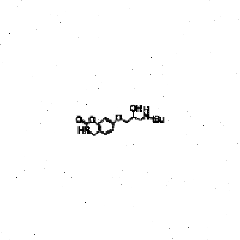 CC(C)(C)NCC(O)COc1ccc2c(c1)OC(=O)NC2